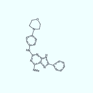 CNc1nc(Nc2ccc(N3CCOCC3)cc2)nc2[nH]c(-c3ccccc3)nc12